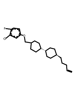 C=CCCC[C@H]1CC[C@H](C2CCC(COc3ccc(F)c(Cl)c3)CC2)CC1